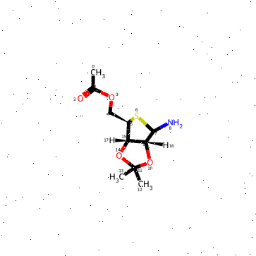 CC(=O)OC[C@H]1SC(N)[C@@H]2OC(C)(C)O[C@H]12